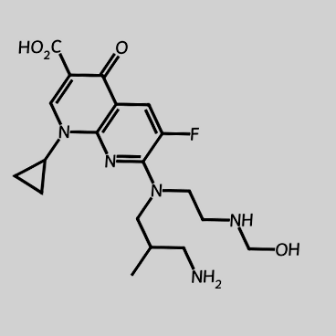 CC(CN)CN(CCNCO)c1nc2c(cc1F)c(=O)c(C(=O)O)cn2C1CC1